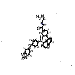 Cc1cc(Nc2ncnn3ccc(C4CCN(C(=O)/C=C/CN)CC4)c23)ccc1Oc1ccn2ncnc2c1